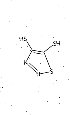 Sc1nnsc1S